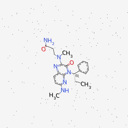 CC[C@@H](c1ccccc1)n1c(=O)c(N(C)CCC(N)=O)nc2ccc(NC)nc21